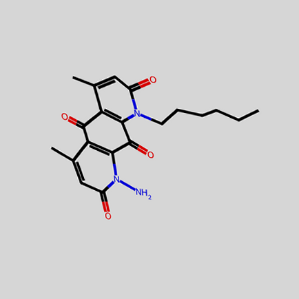 CCCCCCn1c2c(c(C)cc1=O)C(=O)c1c(C)cc(=O)n(N)c1C2=O